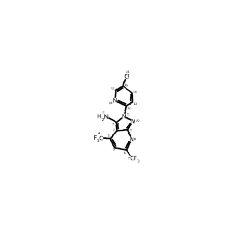 Nc1c2c(C(F)(F)F)cc(C(F)(F)F)nc2nn1-c1ccc(Cl)cn1